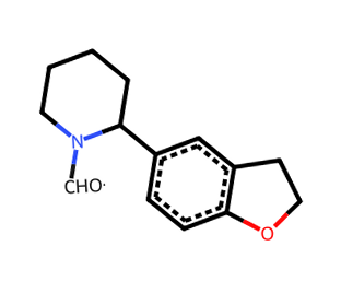 O=[C]N1CCCCC1c1ccc2c(c1)CCO2